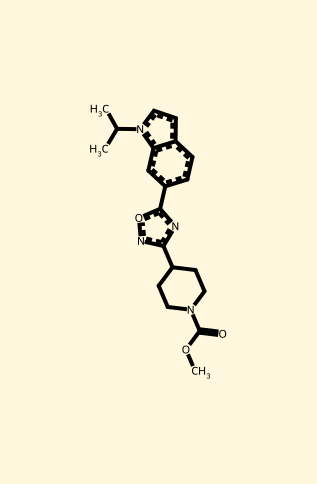 COC(=O)N1CCC(c2noc(-c3ccc4ccn(C(C)C)c4c3)n2)CC1